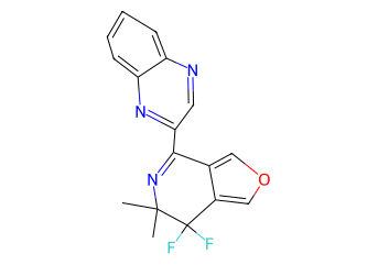 CC1(C)N=C(c2cnc3ccccc3n2)c2cocc2C1(F)F